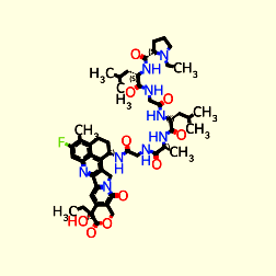 CCN1CCC[C@H]1C(=O)N[C@@H](CC(C)C)C(=O)NCC(=O)N[C@@H](CC(C)C)C(=O)N[C@@H](C)C(=O)NCC(=O)N[C@H]1CCc2c(C)c(F)cc3nc4c(c1c23)Cn1c-4cc2c(c1=O)COC(=O)[C@]2(O)CC